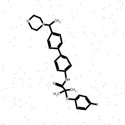 CC(c1ccc(-c2ccc(NC(=O)C(C)(C)Oc3ccc(F)cc3)cc2)cc1)N1CCOCC1